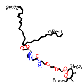 CCCCC/C=C\C/C=C\CCCCCCCCC1(CCCCCCCC/C=C\C/C=C\CCCCC)OC[C@H](CN(C)CC(=O)NCCOCCOCCO[C@@H]2OC(COC(C)=O)[C@H](C)[C@H](C)C2NC(C)=O)O1